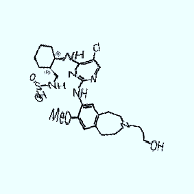 COc1cc2c(cc1Nc1ncc(Cl)c(N[C@@H]3CCCC[C@@H]3CN[SH](=O)=O)n1)CCN(CCO)CC2